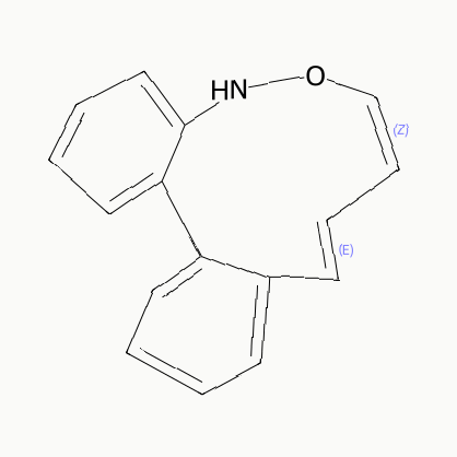 C1=C\ONc2ccccc2-c2ccccc2/C=C/1